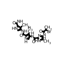 C=C(Br)C(=O)Nc1nc(C(=O)Nc2c[nH]c(C(=O)Nc3c[nH]c(C([NH])=O)c3C)c2C)[nH]c1C